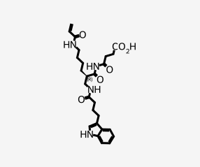 C=CC(=O)NCCCC[C@H](CNC(=O)CCCc1c[nH]c2ccccc12)C(=O)NC(=O)CCC(=O)O